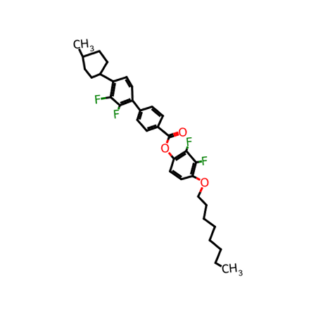 CCCCCCCCOc1ccc(OC(=O)c2ccc(-c3ccc(C4CCC(C)CC4)c(F)c3F)cc2)c(F)c1F